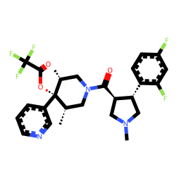 C[C@@H]1CN(C(=O)[C@@H]2CN(C)C[C@H]2c2ccc(F)cc2F)C[C@H](C)[C@@]1(OC(=O)C(F)(F)F)c1cccnc1